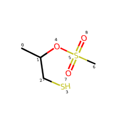 CC([CH]S)OS(C)(=O)=O